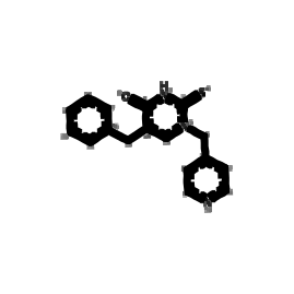 O=c1[nH]c(=S)n(Cc2ccncc2)cc1Cc1ccccc1